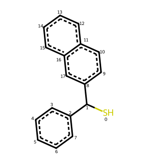 SC(c1ccccc1)c1ccc2ccccc2c1